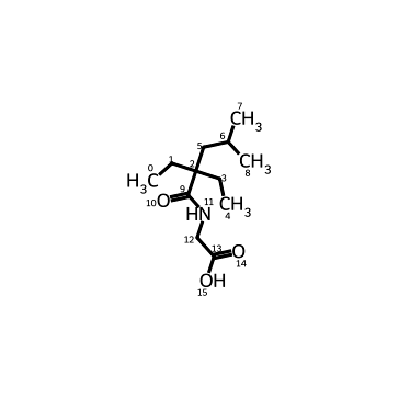 CCC(CC)(CC(C)C)C(=O)NCC(=O)O